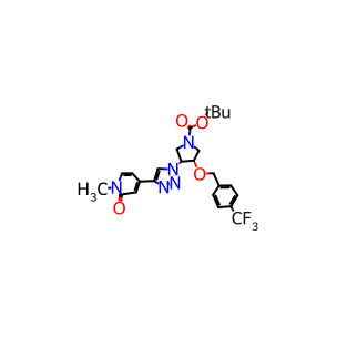 Cn1ccc(-c2cn([C@@H]3CN(C(=O)OC(C)(C)C)C[C@H]3OCc3ccc(C(F)(F)F)cc3)nn2)cc1=O